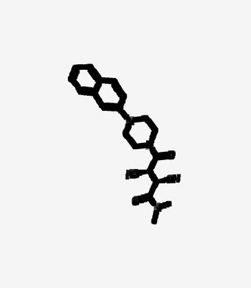 CN(C)C(=O)[C@H](O)[C@@H](O)C(=O)N1CCN(c2ccc3ccccc3c2)CC1